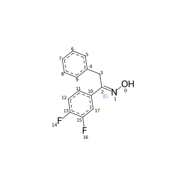 O/N=C(\Cc1ccccc1)c1ccc(F)c(F)c1